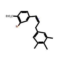 CCOC(=O)c1ccc(/C=C\Cc2cc(C)c(C)c(C)c2)cc1Br